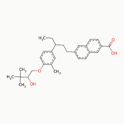 CCC(CCc1ccc2cc(C(=O)O)ccc2c1)c1ccc(OCC(O)C(C)(C)C)c(C)c1